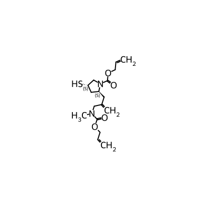 C=CCOC(=O)N(C)CC(=C)C[C@H]1C[C@H](S)CN1C(=O)OCC=C